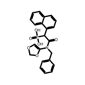 O=C(C(c1cccc2ccccc12)P(=O)(O)O)N(Cc1ccccc1)C1=COCO1